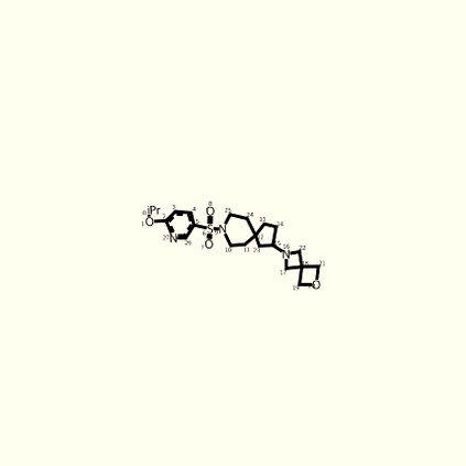 CC(C)Oc1ccc(S(=O)(=O)N2CCC3(CCC(N4CC5(COC5)C4)C3)CC2)cn1